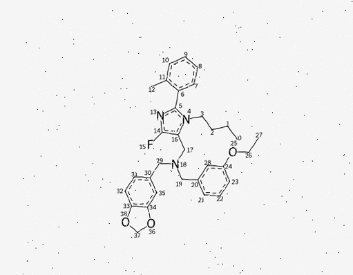 CCCCn1c(-c2ccccc2C)nc(F)c1CN(Cc1cccc(OCC)c1)Cc1ccc2c(c1)OCO2